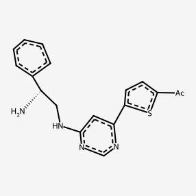 CC(=O)c1ccc(-c2cc(NC[C@H](N)c3ccccc3)ncn2)s1